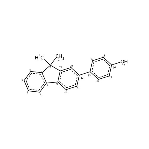 CC1(C)c2ccccc2-c2ccc(-c3ccc(O)cc3)cc21